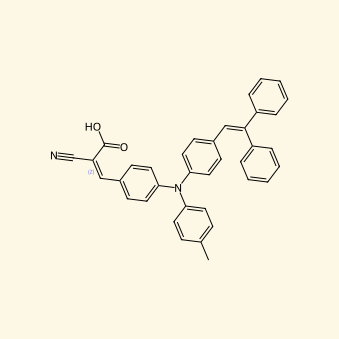 Cc1ccc(N(c2ccc(C=C(c3ccccc3)c3ccccc3)cc2)c2ccc(/C=C(/C#N)C(=O)O)cc2)cc1